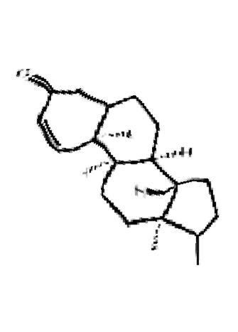 CC1CC[C@H]2[C@@H]3CCC4CC(=O)C=C[C@]4(C)[C@@H]3CC[C@]12C